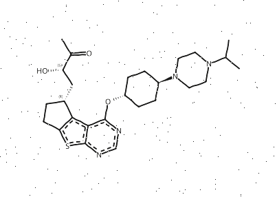 CC(=O)[C@@H](O)C[C@H]1CCc2sc3ncnc(O[C@H]4CC[C@H](N5CCN(C(C)C)CC5)CC4)c3c21